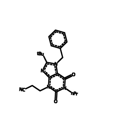 CCCn1c(=O)c2c(nc(C(C)(C)C)n2Cc2ccccc2)n(CCC#N)c1=O